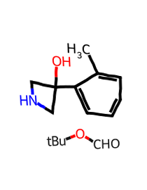 CC(C)(C)OC=O.Cc1ccccc1C1(O)CNC1